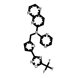 FC(F)(F)c1nc(-c2ccc(CN(c3cnccn3)c3ccc4nccnc4n3)s2)no1